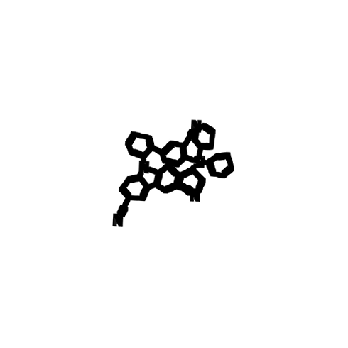 N#Cc1ccc2c(c1)c1cc(C#N)ccc1n2-c1ccccc1-c1ccc([Si](c2ccccc2)(c2ccccc2)c2ccccc2)c(C#N)c1